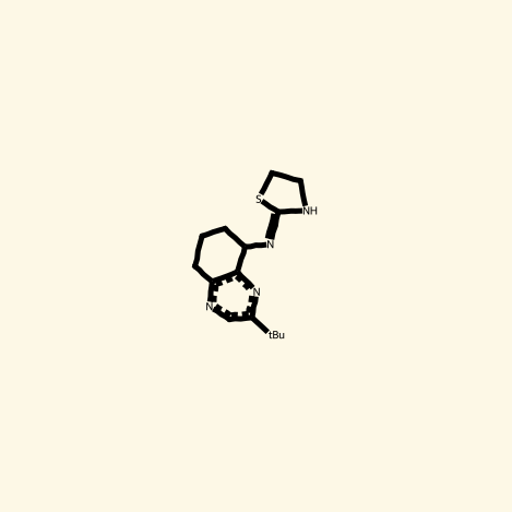 CC(C)(C)c1cnc2c(n1)C(/N=C1/NCCS1)CCC2